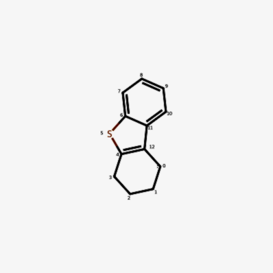 [C]1CCCc2sc3ccccc3c21